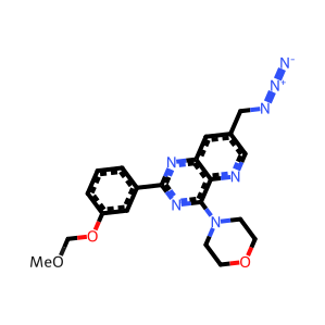 COCOc1cccc(-c2nc(N3CCOCC3)c3ncc(CN=[N+]=[N-])cc3n2)c1